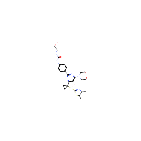 CC1N=C(S(=O)(=O)C2(c3cc(N4CCOC[C@@H]4C)nc(-c4ccc(NC(=O)NCCO)cc4)n3)CC2)SC1C